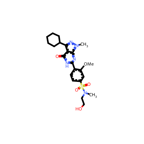 COc1cc(S(=O)(=O)N(C)CCO)ccc1-c1nc2c(c(C3CCCCC3)nn2C)c(=O)[nH]1